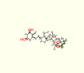 C=C1/C(=C\C=C2/CCC[C@@]3(C)C2CC[C@@H]3[C@](C)(C/C=C/C(O)(C(F)(F)F)C(F)(F)F)CCCC(C)(C)O)CC(O)C[C@@H]1O